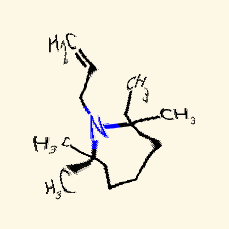 C=CCN1C(C)(C)CCCC1(C)C